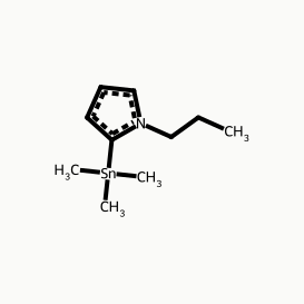 CCCn1ccc[c]1[Sn]([CH3])([CH3])[CH3]